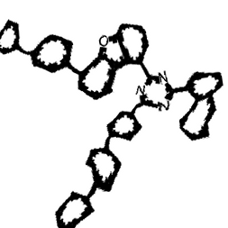 c1ccc(-c2ccc(-c3ccc(-c4nc(-c5cccc6ccccc56)nc(-c5cccc6oc7c(-c8ccc(-c9ccccc9)cc8)cccc7c56)n4)cc3)cc2)cc1